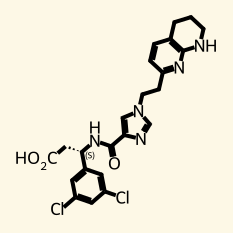 O=C(O)C[C@H](NC(=O)c1cn(CCc2ccc3c(n2)NCCC3)cn1)c1cc(Cl)cc(Cl)c1